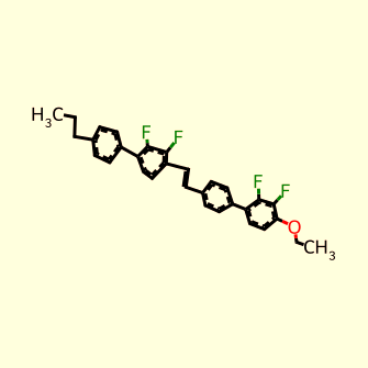 CCCc1ccc(-c2ccc(/C=C/c3ccc(-c4ccc(OCC)c(F)c4F)cc3)c(F)c2F)cc1